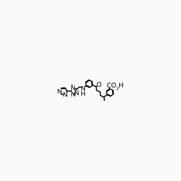 CC(CCCC(=O)c1cccc(NCc2nnc(-c3ccncn3)n2C)c1)c1cccc(C(=O)O)c1